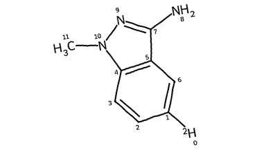 [2H]c1ccc2c(c1)c(N)nn2C